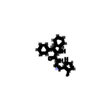 Cc1nc[nH]c1/C=N\NC(=O)c1[nH]c2ccccc2c1-c1ccccc1